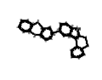 c1ccc2c(c1)CCc1[nH]c3ccc(-c4ccc5c(c4)Sc4ccccc4S5)cc3c1-2